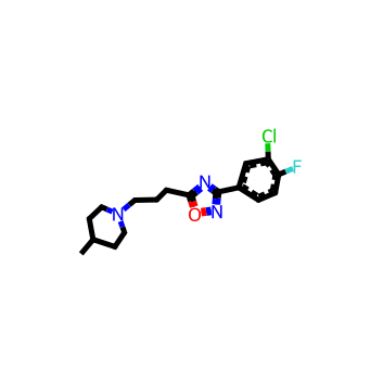 CC1CCN(CCCc2nc(-c3ccc(F)c(Cl)c3)no2)CC1